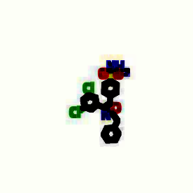 NS(=O)(=O)c1ccc(-c2oc(Cc3ccccc3)nc2-c2cc(Cl)cc(Cl)c2)cc1